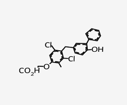 Cc1c(OCC(=O)O)cc(Cl)c(Cc2ccc(O)c(-c3ccccc3)c2)c1Cl